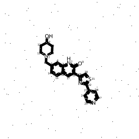 O=c1[nH]c2cc(CN3CCC(O)CC3)ccc2cc1-c1csc(-c2ccncc2)n1